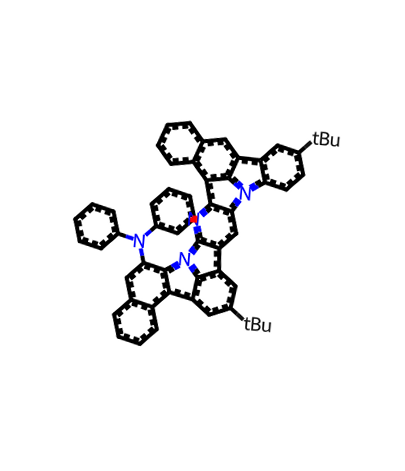 CC(C)(C)c1ccc2c(c1)c1cc3ccccc3c3c4nc5c(cc4n2c13)c1cc(C(C)(C)C)cc2c3c4ccccc4cc(N(c4ccccc4)c4ccccc4)c3n5c12